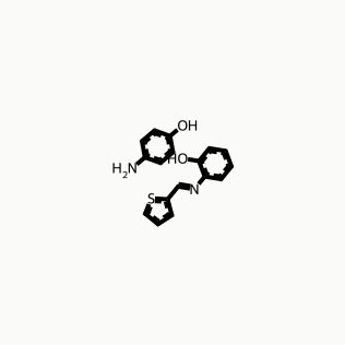 Nc1ccc(O)cc1.Oc1ccccc1/N=C/c1cccs1